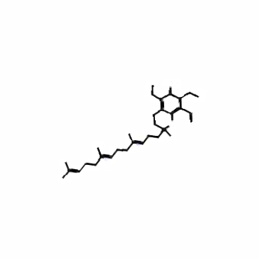 CCC1=C2CCC(C)(CC/C=C(\C)CC/C=C(\C)CCC=C(C)C)OC2=C(CC)C(CC)C1O